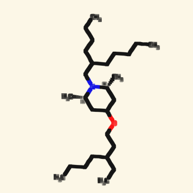 CCCCCC(CCCC)CN1[C@H](C)CC(OCCC(CC)CCCC)C[C@@H]1C